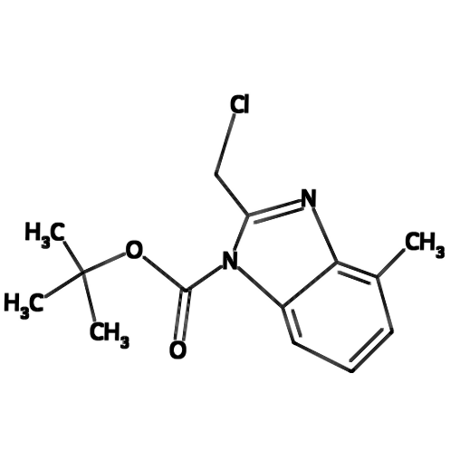 Cc1cccc2c1nc(CCl)n2C(=O)OC(C)(C)C